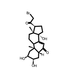 C[C@]12C[C@H](O)[C@H](O)C[C@H]1C(=O)C=C1C2CC[C@]2(C)[C@@H](C(=O)CBr)CC[C@@]12O